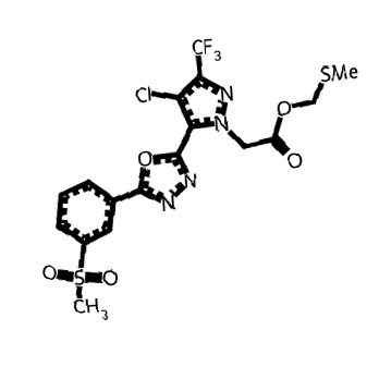 CSCOC(=O)Cn1nc(C(F)(F)F)c(Cl)c1-c1nnc(-c2cccc(S(C)(=O)=O)c2)o1